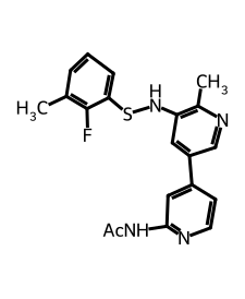 CC(=O)Nc1cc(-c2cnc(C)c(NSc3cccc(C)c3F)c2)ccn1